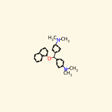 CN(C)c1ccc(C(Oc2cccc3ccccc23)c2ccc(N(C)C)cc2)cc1